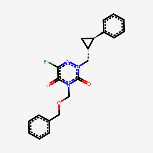 O=c1c(Br)nn(C[C@@H]2C[C@H]2c2ccccc2)c(=O)n1COCc1ccccc1